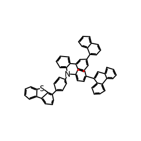 c1cc(-c2ccccc2N(c2ccc(-c3cc4ccccc4c4ccccc34)cc2)c2ccc(-c3cccc4c3sc3ccccc34)cc2)cc(-c2cccc3ccccc23)c1